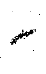 CN(C)C1CCN(C2CCN(c3ccc(NC(=O)N4CCC(c5ccc(Cl)cc5)CC4)cc3)C2)C1=O